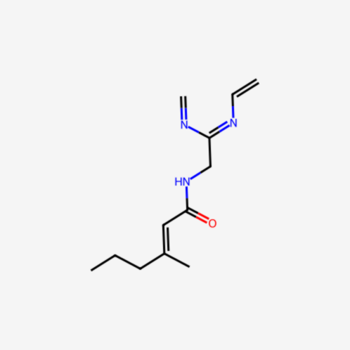 C=C/N=C(/CNC(=O)/C=C(\C)CCC)N=C